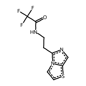 O=C(NCCc1ncc2sccn12)C(F)(F)F